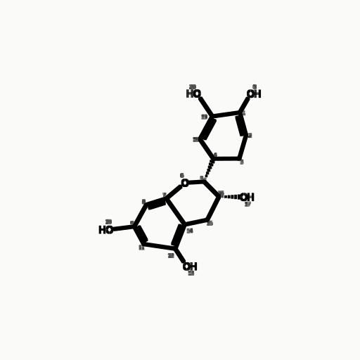 OC1=CCC([C@H]2Oc3cc(O)cc(O)c3C[C@H]2O)C=C1O